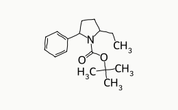 CCC1CCC(c2ccccc2)N1C(=O)OC(C)(C)C